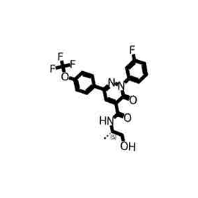 C[C@@H](CO)NC(=O)c1cc(-c2ccc(OC(F)(F)F)cc2)nn(-c2cccc(F)c2)c1=O